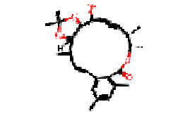 Cc1cc(C)c2c(c1)/C=C/C(C)[C@@H]1OC(C)(C)OC1C(O)/C=C\[C@@H](C)[C@H](C)OC2=O